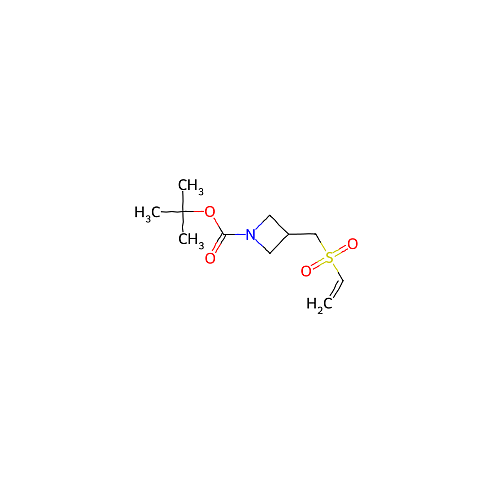 C=CS(=O)(=O)CC1CN(C(=O)OC(C)(C)C)C1